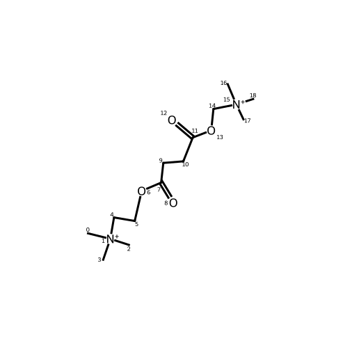 C[N+](C)(C)CCOC(=O)CCC(=O)OC[N+](C)(C)C